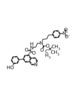 CC(C)(C)OC(=O)N(CCCc1ccc([N+](=O)[O-])cc1)CCNS(=O)(=O)c1cc(-c2cccc(O)c2)cc2cnccc12